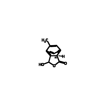 CC1=CC2=CC=CC1=C1C(O)OC(=O)[C@H]21